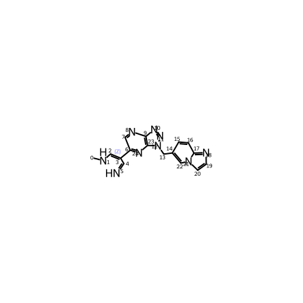 CN/C=C(\C=N)c1cnc2nnn(Cc3ccc4nccn4c3)c2n1